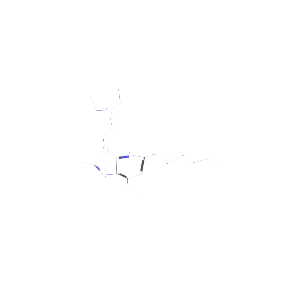 CCCCCCc1cc(S)c2nc(O)n(CCN(CC)CC)c2n1